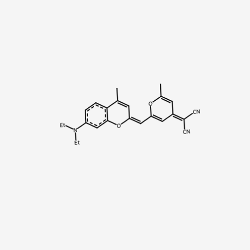 CCN(CC)c1ccc2c(c1)O/C(=C/C1=CC(=C(C#N)C#N)C=C(C)O1)C=C2C